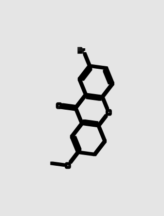 COC1=Cc2c(oc3ccc(Br)cc3c2=O)CC1